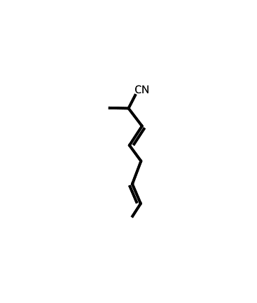 CC=CCC=CC(C)C#N